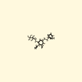 CC(C)(C)[Si](C)(C)OCc1cc(CCc2ncc[nH]2)cc(F)c1C#N